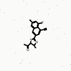 C#Cc1cc(C2=NC(C)C(C(C)=O)S2)cc2cc(C)cc(F)c12